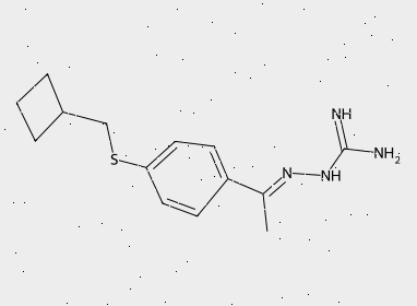 CC(=NNC(=N)N)c1ccc(SCC2CCC2)cc1